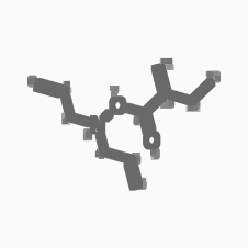 C=CCN(CC=C)OC(=O)C(=C)CC